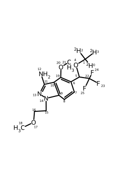 [2H]C([2H])([2H])OC(c1ccc2c(c(N)nn2CCOC)c1OC)C(F)(F)F